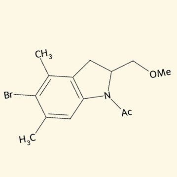 COCC1Cc2c(cc(C)c(Br)c2C)N1C(C)=O